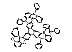 c1ccc(N2c3ccccc3B3c4cc5c6cc7c(cc6c6cc8c(cc6c5cc4N(c4ccccc4)c4cccc2c43)Oc2cccc3c2B8c2ccccc2O3)N(c2ccccc2)c2cccc3c2B7c2ccccc2N3c2ccccc2)cc1